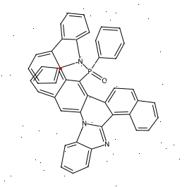 O=P(c1ccccc1)(c1c2ccccc2cc2c1c1ccc3ccccc3c1c1nc3ccccc3n21)n1c2ccccc2c2ccccc21